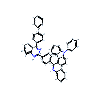 c1ccc(-c2ccc(-c3nc(-c4ccc(-c5nc6ccccc6c6ccc7c(c8ccccc8n7-c7ccccc7)c56)cc4)nc4ccccc34)cc2)cc1